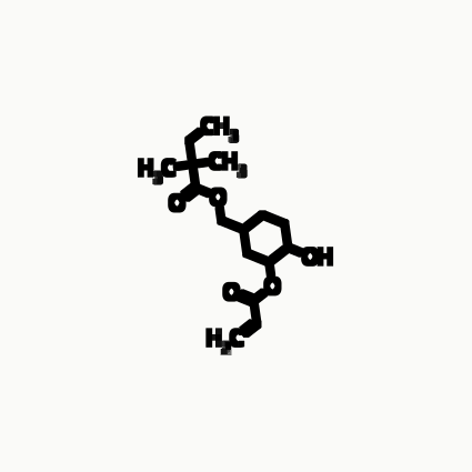 C=CC(=O)OC1CC(COC(=O)C(C)(C)CC)CCC1O